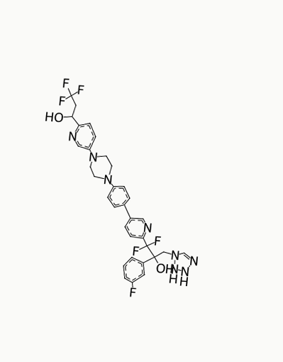 OC(CC(F)(F)F)c1ccc(N2CCN(c3ccc(-c4ccc(C(F)(F)C(O)(CN5C=NNN5)c5cccc(F)c5)nc4)cc3)CC2)cn1